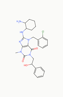 Cn1c(=O)n(CC(O)c2ccccc2)c(=O)c2c1nc(NC1CCCCC1N)n2Cc1ccccc1Cl